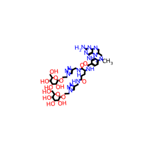 CN(Cc1cnc2nc(N)nc(N)c2n1)c1ccc(C(=O)NC(CCC(=O)NCc2cn(CCO[C@@H]3OC(CO)[C@@H](O)C(O)C3O)nn2)C(=O)NCc2cn(CCO[C@@H]3OC(CO)[C@@H](O)C(O)C3O)nn2)cc1